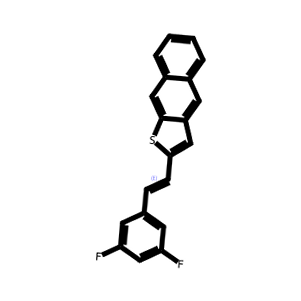 Fc1cc(F)cc(/C=C/c2cc3cc4ccccc4cc3s2)c1